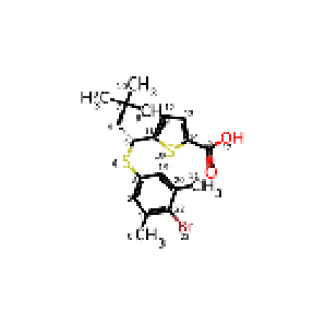 Cc1cc(S[C@H](CC(C)(C)C)c2ccc(C(=O)O)s2)cc(C)c1Br